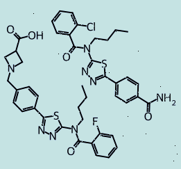 CCCCN(C(=O)c1ccccc1Cl)c1nnc(-c2ccc(C(N)=O)cc2)s1.CCCCN(C(=O)c1ccccc1F)c1nnc(-c2ccc(CN3CC(C(=O)O)C3)cc2)s1